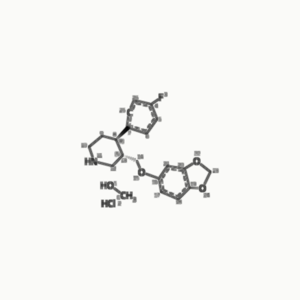 CO.Cl.Fc1ccc([C@@H]2CCNC[C@H]2COc2ccc3c(c2)OCO3)cc1